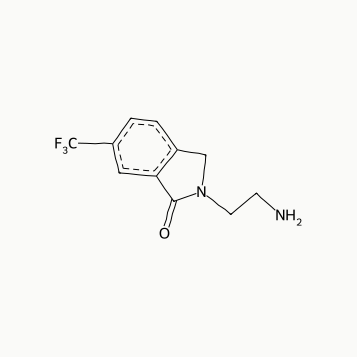 NCCN1Cc2ccc(C(F)(F)F)cc2C1=O